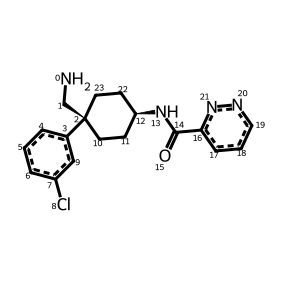 NC[C@]1(c2cccc(Cl)c2)CC[C@H](NC(=O)c2cccnn2)CC1